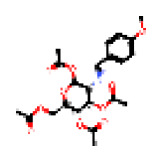 COc1ccc(/C=N/[C@H]2C(OC(C)=O)O[C@H](COC(C)=O)[C@@H](OC(C)=O)[C@@H]2OC(C)=O)cc1